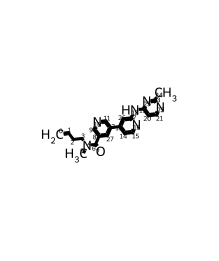 C=CCCN(C)C(=O)c1cncc(-c2ccnc(Nc3ccnc(C)n3)c2)c1